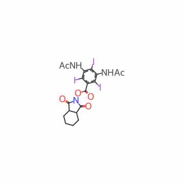 CC(=O)Nc1c(I)c(NC(C)=O)c(I)c(C(=O)ON2C(=O)C3CCCCC3C2=O)c1I